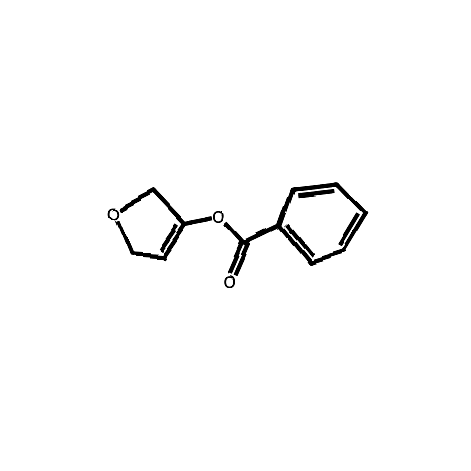 O=C(OC1=CCOC1)c1ccccc1